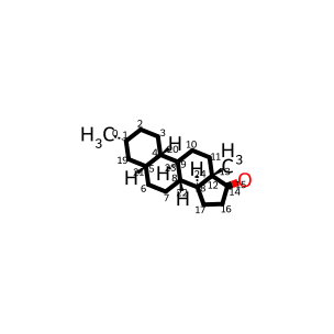 C[C@@H]1CC[C@H]2[C@H](CC[C@@H]3[C@@H]2CC[C@]2(C)C(=O)CC[C@@H]32)C1